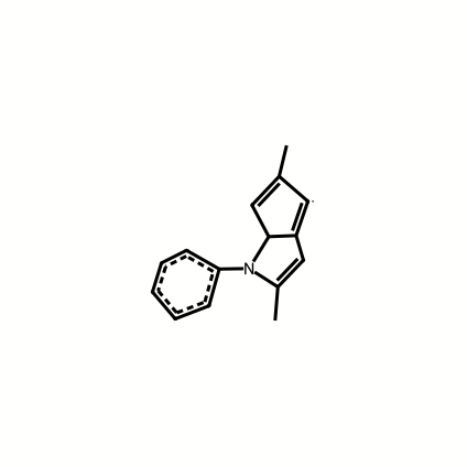 CC1=CC2C(=[C]1)C=C(C)N2c1ccccc1